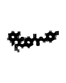 CN(Cc1ccc(NC(=O)OCc2ccc(Cl)cc2)cc1)C(=O)c1c(F)cncc1F